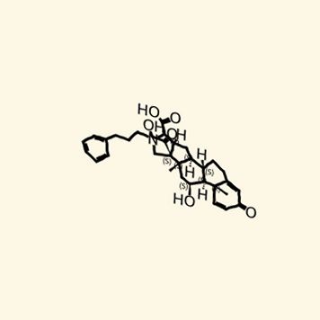 C[C@]12C=CC(=O)C=C1CC[C@@H]1[C@@H]2[C@@H](O)C[C@@]2(C)[C@H]1C[C@H]1C(C(=O)O)N(CCCc3ccccc3)C[C@]12C(=O)CO